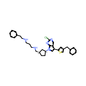 Clc1ncc2c(-c3cc(Cc4ccccc4)cs3)cn([C@H]3CC[C@@H](CNCCCNCCc4ccccc4)C3)c2n1